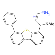 CNC(/C=C\N)c1cccc2c1sc1c(-c3ccccc3)cccc12